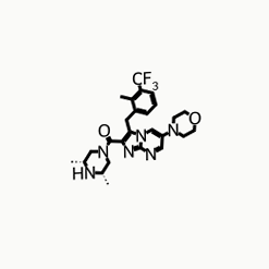 Cc1c(Cc2c(C(=O)N3C[C@@H](C)N[C@@H](C)C3)nc3ncc(N4CCOCC4)cn23)cccc1C(F)(F)F